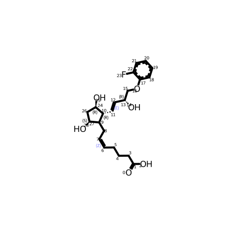 O=C(O)CCC/C=C\CC1[C@@H](/C=C/[C@@H](O)COc2ccccc2F)[C@H](O)C[C@@H]1O